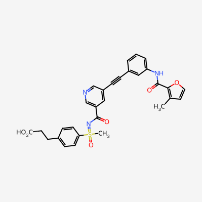 Cc1ccoc1C(=O)Nc1cccc(C#Cc2cncc(C(=O)N=S(C)(=O)c3ccc(CCC(=O)O)cc3)c2)c1